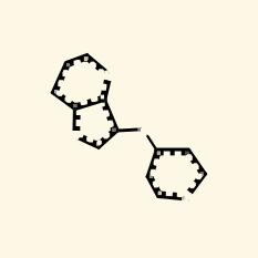 c1cnc2c(Nc3ccncc3)csc2c1